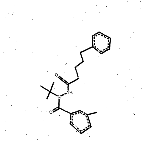 Cc1cccc(C(=O)N(NC(=O)CCCCc2ccccc2)C(C)(C)C)c1